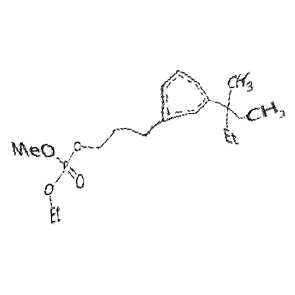 CCOP(=O)(OC)OCCCc1cccc(C(C)(C)CC)c1